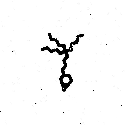 CCCCO[Si](CCCCC1CCC2OC2C1)(OCCCC)OCCCC